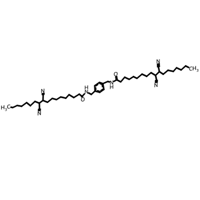 CCCCCCCC(C#N)C(C#N)CCCCCCCCC(=O)NCc1ccc(CNC(=O)CCCCCCCCC(C#N)C(C#N)CCCCCCC)cc1